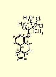 CC1(C)C(Cl)(Cl)C1(C)C(=O)Oc1cccc2c1CCc1ccsc1-2